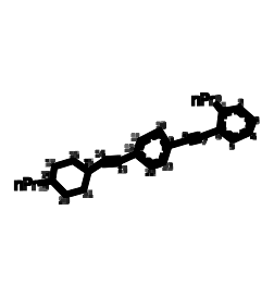 CCCc1ccccc1C#Cc1ccc(C#CC2CCC(CCC)CC2)cc1